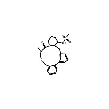 CN1CCCc2ccccc2-c2cccc(c2)CC2C(NS(C)(=O)=O)CCCN2C1=O